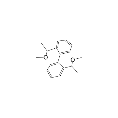 COC(C)c1ccccc1-c1ccccc1C(C)OC